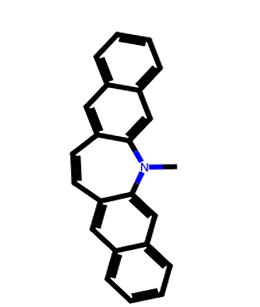 CN1c2cc3ccccc3cc2C=Cc2cc3ccccc3cc21